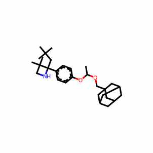 CC(OCC12CC3CC(CC(C3)C1)C2)Oc1ccc(C2(CC(C)(C)C)NCC2(C)C)cc1